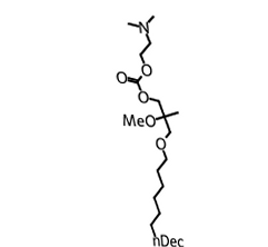 CCCCCCCCCCCCCCCCOCC(C)(COC(=O)OCCN(C)C)OC